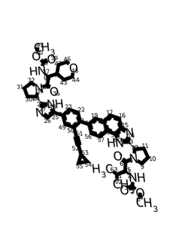 COC(=O)N[C@H](C(=O)N1CCC[C@H]1c1nc2ccc3cc(-c4ccc(-c5cnc([C@@H]6CCCN6C(=O)[C@@H](NC(=O)OC)C6CCOCC6)[nH]5)cc4C#CC4CC4)ccc3c2[nH]1)C(C)C